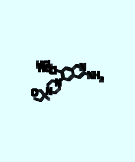 CC1(N2CCN(c3cc4cc(N)ncc4cc3Cl)CC2)CCOC1.Cl.Cl